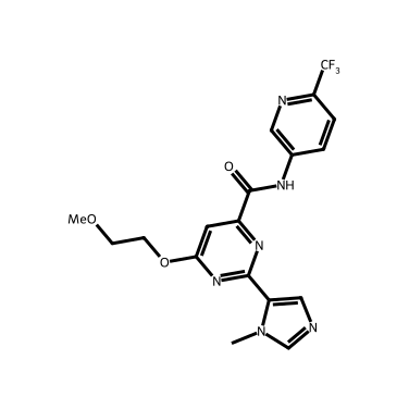 COCCOc1cc(C(=O)Nc2ccc(C(F)(F)F)nc2)nc(-c2cncn2C)n1